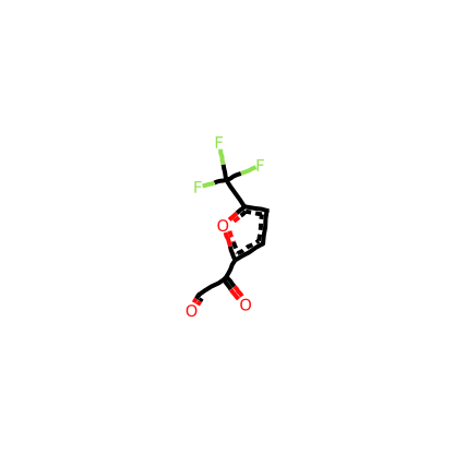 O=CC(=O)c1ccc(C(F)(F)F)o1